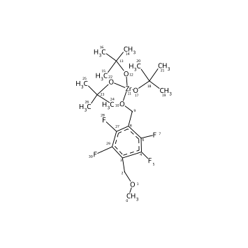 COCc1c(F)c(F)c(C[O][Zr]([O]C(C)(C)C)([O]C(C)(C)C)[O]C(C)(C)C)c(F)c1F